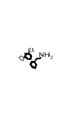 CCc1cccc([O])c1.NCCc1ccccc1